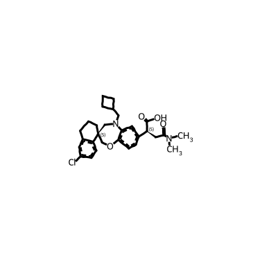 CN(C)C(=O)C[C@H](C(=O)O)c1ccc2c(c1)N(CC1CCC1)C[C@@]1(CCCc3cc(Cl)ccc31)CO2